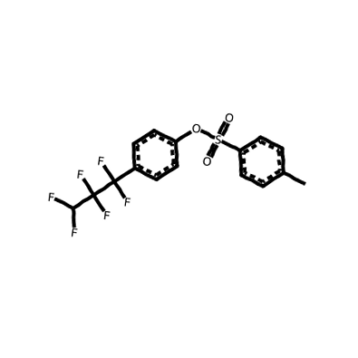 Cc1ccc(S(=O)(=O)Oc2ccc(C(F)(F)C(F)(F)C(F)F)cc2)cc1